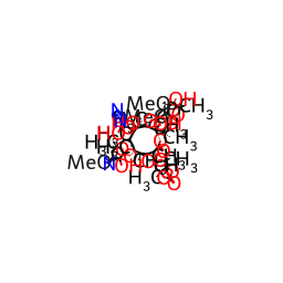 CO/N=C1\C[C@@H](C)O[C@@H](O[C@H]2[C@H](C)[C@@H](O[C@H]3C[C@@]4(C)OC(=O)O[C@H]4[C@H](C)O3)[C@@H](C)C(=O)O[C@@H]([C@@H](C)CO[C@@H]3O[C@H](C)[C@H](O)[C@H](OC)C3OC)C(C)C(OC(O)CC(C)C)[C@@H](C)C(O)C(C)(OC(O)n3ccnc3)C[C@H]2C)C1O